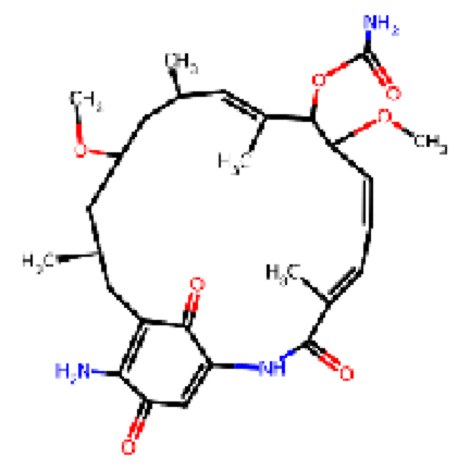 COC1C[C@H](C)CC2=C(N)C(=O)C=C(NC(=O)/C(C)=C/C=C\C(OC)C(OC(N)=O)/C(C)=C/[C@H](C)C1)C2=O